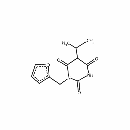 CC(C)C1C(=O)NC(=O)N(Cc2ccco2)C1=O